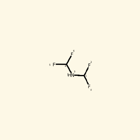 FC(F)NC(F)F